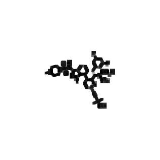 CN1CCN(S(=O)(=O)Nc2nn(C)c3c(-c4ccc(C#CC(C)(C)O)nc4[C@H](Cc4cc(F)cc(F)c4)N(C(=O)O)C(C)(C)C)cccc23)CC1